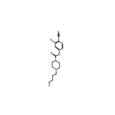 CCCCC[C@H]1CC[C@@H](C(=O)Oc2ccc(C#N)c(F)c2)CC1